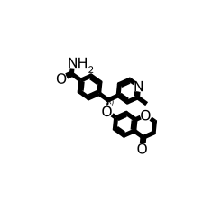 Cc1cc([C@H](Oc2ccc3c(c2)OCCC3=O)c2ccc(C(N)=O)cc2)ccn1